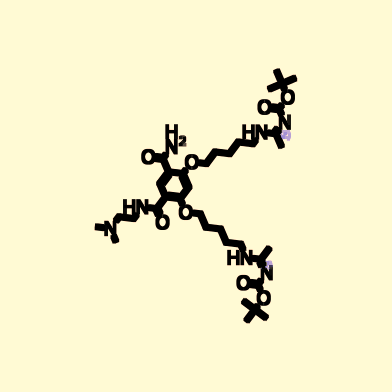 C/C(=N/C(=O)OC(C)(C)C)NCCCCCOc1cc(OCCCCCN/C(C)=N\C(=O)OC(C)(C)C)c(C(=O)NCCN(C)C)cc1C(N)=O